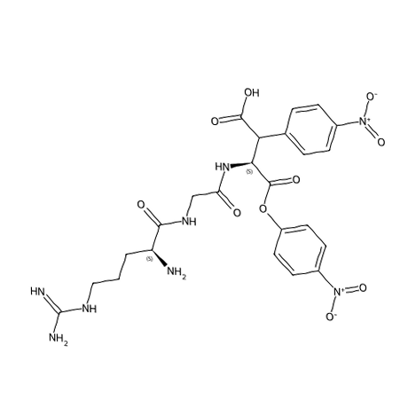 N=C(N)NCCC[C@H](N)C(=O)NCC(=O)N[C@H](C(=O)Oc1ccc([N+](=O)[O-])cc1)C(C(=O)O)c1ccc([N+](=O)[O-])cc1